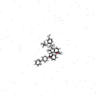 COc1ccc(S(=O)(=O)N2C(=O)C(CC(=O)N3CCN(c4ncccn4)CC3)(c3ccccc3OC)c3cc(Cl)ccc32)c(OC(F)(F)F)c1